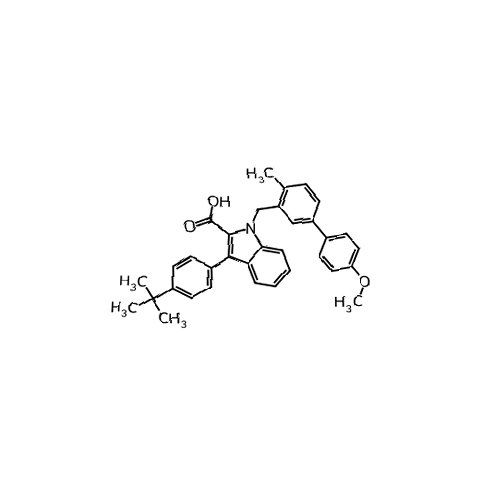 COc1ccc(-c2ccc(C)c(Cn3c(C(=O)O)c(-c4ccc(C(C)(C)C)cc4)c4ccccc43)c2)cc1